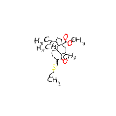 CCCS/C=C1\CC[C@@H]2C3=C(C(C)C)CC[C@]3(C(=O)OC)CC[C@@]2(C)C1=O